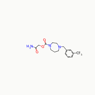 NC(=O)COC(=O)N1CCCN(Cc2cccc(C(F)(F)F)c2)CC1